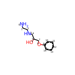 NCCNCC(O)COc1ccccc1